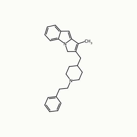 CC1=C(CC2CCN(CCc3ccccc3)CC2)Cn2c1cc1ccccc12